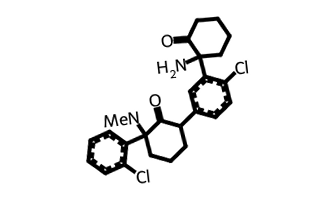 CNC1(c2ccccc2Cl)CCCC(c2ccc(Cl)c(C3(N)CCCCC3=O)c2)C1=O